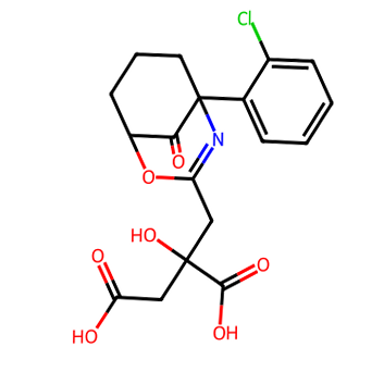 O=C(O)CC(O)(CC1=NC2(c3ccccc3Cl)CCCC(O1)C2=O)C(=O)O